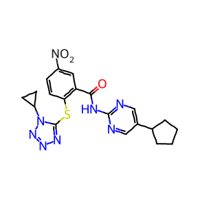 O=C(Nc1ncc(C2CCCC2)cn1)c1cc([N+](=O)[O-])ccc1Sc1nnnn1C1CC1